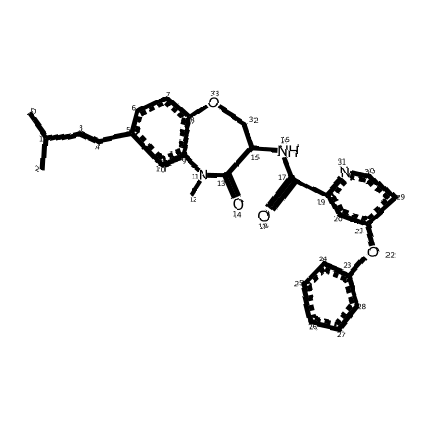 CC(C)CCc1ccc2c(c1)N(C)C(=O)C(NC(=O)c1cc(Oc3ccccc3)ccn1)CO2